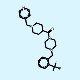 O=C(C1CCN(Cc2ccncc2)CC1)N1CCN(Cc2ccccc2C(F)(F)F)CC1